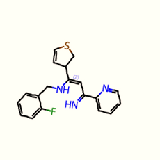 N=C(/C=C(\NCc1ccccc1F)C1C=CSC1)c1ccccn1